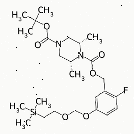 C[C@@H]1CN(C(=O)OC(C)(C)C)C[C@H](C)N1C(=O)OCc1cc(OCOCC[Si](C)(C)C)ccc1F